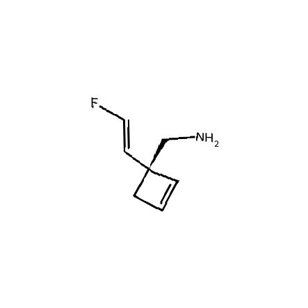 NC[C@@]1(/C=C/F)C=CC1